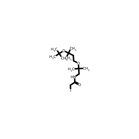 CC(C)(C)OC(C)(C)CCOC(C)(C)CNC(=O)CI